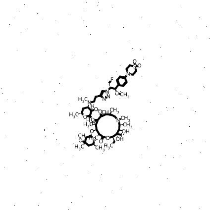 CC[C@H]1OC(=O)[C@H](C)[C@@H](O[C@H]2C[C@@](C)(OC)C[C@H](C)O2)[C@H](C)[C@H]2O[C@@H]3O[C@H](C)C[C@H](N(C)CCc4cn([C@H](CF)[C@H](OC)c5ccc(N6CCS(=O)(=O)CC6)cc5)nn4)[C@H]3OO[C@]2(C)C[C@@H](C)CN(C)[C@H](C)[C@@H](O)[C@@]1(O)I